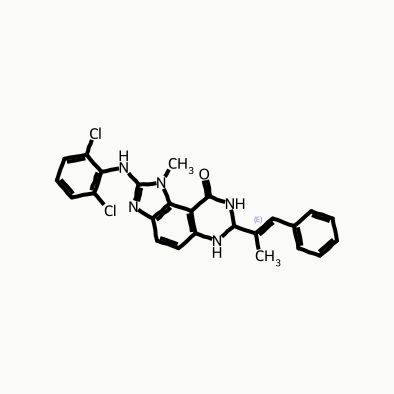 C/C(=C\c1ccccc1)C1NC(=O)c2c(ccc3nc(Nc4c(Cl)cccc4Cl)n(C)c23)N1